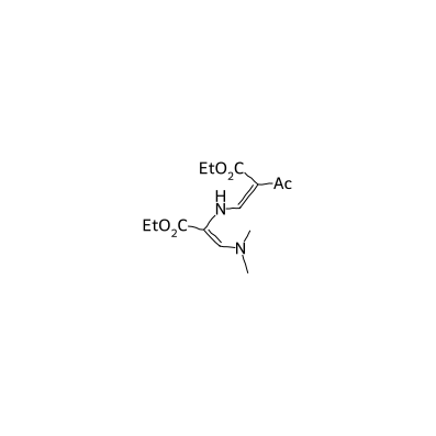 CCOC(=O)C(=CN(C)C)NC=C(C(C)=O)C(=O)OCC